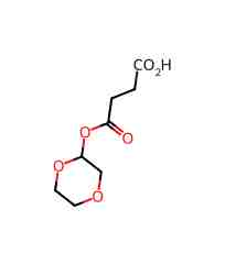 O=C(O)CCC(=O)OC1COCCO1